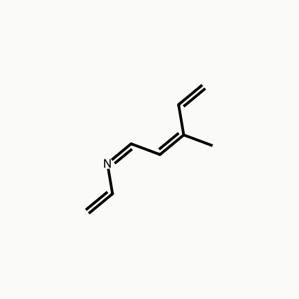 C=C/N=C\C=C(\C)C=C